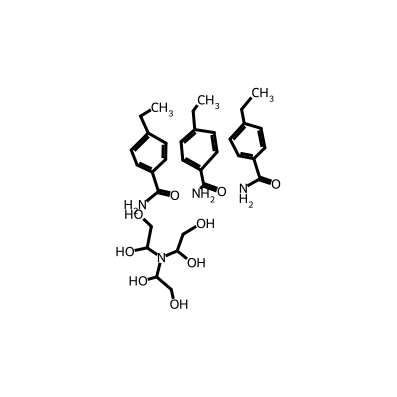 CCc1ccc(C(N)=O)cc1.CCc1ccc(C(N)=O)cc1.CCc1ccc(C(N)=O)cc1.OCC(O)N(C(O)CO)C(O)CO